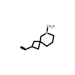 C=CC1CC2(CCCN(C(=O)O)C2)C1